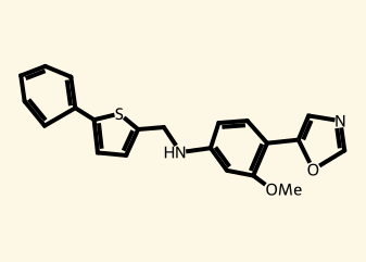 COc1cc(NCc2ccc(-c3ccccc3)s2)ccc1-c1cnco1